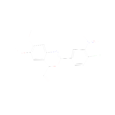 COc1cc2c(cc1OC)C(C=O)OC(c1ccc(Cl)c([N+](=O)[O-])c1)=N2